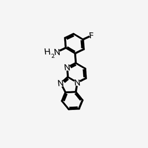 Nc1ccc(F)cc1-c1ccn2c(n1)nc1ccccc12